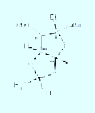 CCC(C)[C@]1(CC)O[C@@H]2OC(C)(C)O[C@@H]2[C@@H]1OC